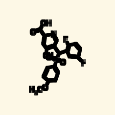 COc1ccc(S(=O)(=O)C(c2cnc(C(=O)O)cc2C)c2cc(F)ccc2F)cc1